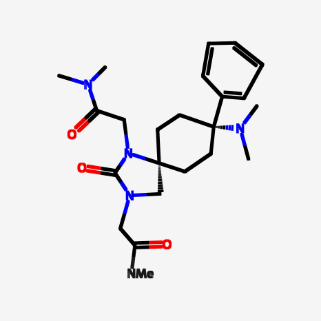 CNC(=O)CN1C[C@]2(CC[C@@](c3ccccc3)(N(C)C)CC2)N(CC(=O)N(C)C)C1=O